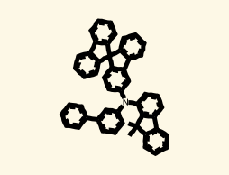 CC1(C)c2ccccc2-c2cccc(N(c3cccc(-c4ccccc4)c3)c3ccc4c(c3)-c3ccccc3C43c4ccccc4-c4ccccc43)c21